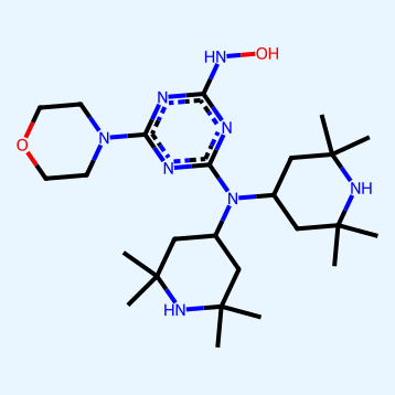 CC1(C)CC(N(c2nc(NO)nc(N3CCOCC3)n2)C2CC(C)(C)NC(C)(C)C2)CC(C)(C)N1